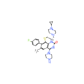 O=c1nc(N2CCNCC2)c2cc(C(F)(F)F)c(-c3ccc(F)cc3)c3c2n1[C@@H](CN1CCN(C2CC2)CC1)CS3